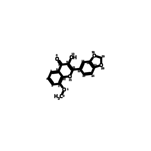 COc1cccc2c(=O)c(O)c(-c3ccc4c(c3)OCO4)oc12